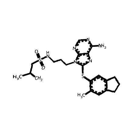 Cc1cc2c(cc1Sc1nc3c(N)ncnc3n1CCCNS(=O)(=O)CC(C)C)CCC2